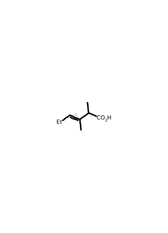 CC/C=C(\C)C(C)C(=O)O